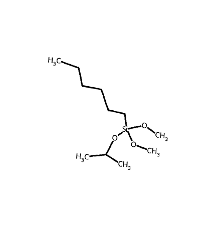 CCCCCC[Si](OC)(OC)OC(C)C